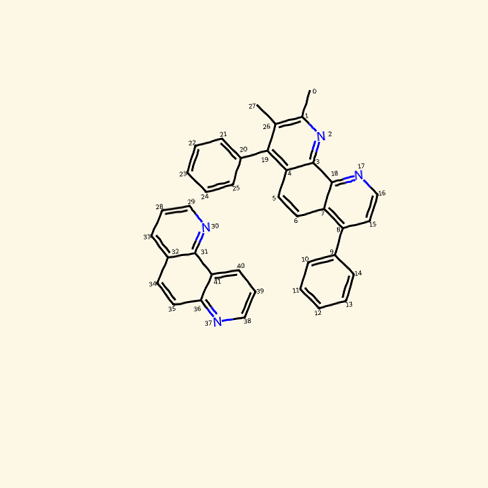 Cc1nc2c(ccc3c(-c4ccccc4)ccnc32)c(-c2ccccc2)c1C.c1cnc2c(c1)ccc1ncccc12